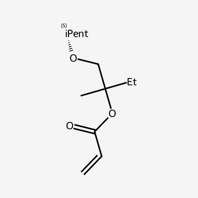 C=CC(=O)OC(C)(CC)CO[C@@H](C)CCC